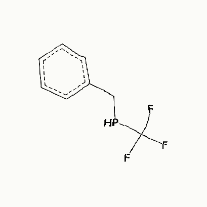 FC(F)(F)PCc1ccccc1